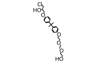 CC(C)(c1ccc(OCCOCCOCCO)cc1)c1ccc(OCC(O)CCl)cc1